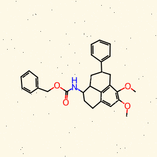 COc1cc2c3c(c1OC)CC(c1ccccc1)CC3C(NC(=O)OCc1ccccc1)CC2